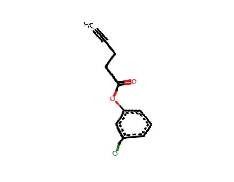 C#CCCC(=O)Oc1cccc(Cl)c1